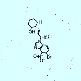 Cl.Cl.O=[N+]([O-])c1c(Br)ccc2c1ncn2C/C=C/[C@H]1NCCC[C@@H]1O